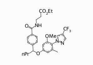 CCCC(Oc1cc(C)c(-n2cc(C(F)(F)F)cn2)c(OC)c1)c1ccc(C(=O)NCCC(=O)OCC)cc1